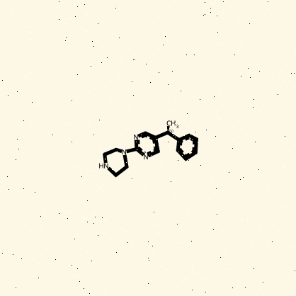 C[C@@H](c1ccccc1)c1cnc(N2CCNCC2)nc1